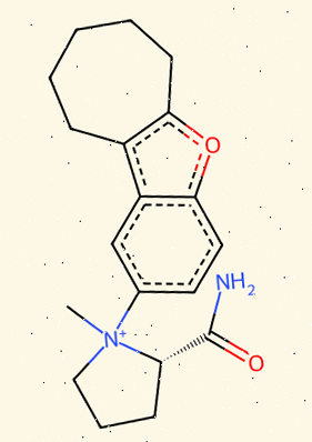 C[N+]1(c2ccc3oc4c(c3c2)CCCCC4)CCC[C@H]1C(N)=O